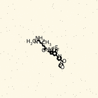 C=N\C(N)=C/C=C(C)/C=C/C(=O)NCc1cc2cc(-c3ccc(C(=O)N4CCCOC4)cn3)cc(C(F)(F)F)c2o1